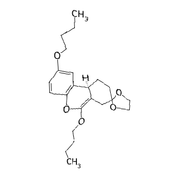 CCCCOC1=C2CC3(CC[C@@H]2c2cc(OCCCC)ccc2O1)OCCO3